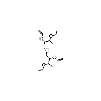 C=COC(COCC(OC=C)C(C)OCC)C(C)OCC